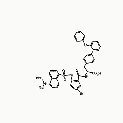 CCCCN(CCCC)c1cccc2c(S(=O)(=O)Nc3ccc(Br)cc3C(=O)N[C@@H](Cc3ccc(-c4ccccc4Oc4ccccc4)cc3)C(=O)O)cccc12